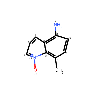 Cc1ccc(N)c2ccc[n+]([O-])c12